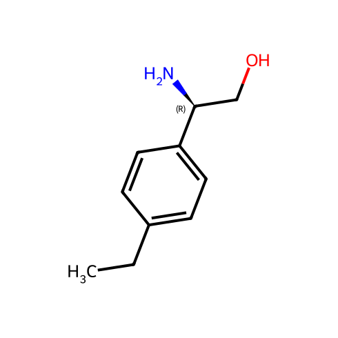 CCc1ccc([C@@H](N)CO)cc1